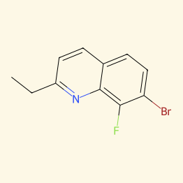 CCc1ccc2ccc(Br)c(F)c2n1